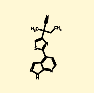 CCC(C)(C#N)c1csc(-c2ccnc3[nH]ncc23)n1